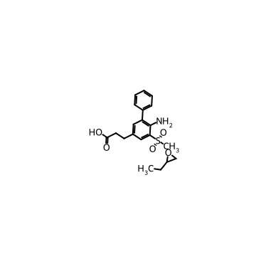 CCC1CO1.CS(=O)(=O)c1cc(CCC(=O)O)cc(-c2ccccc2)c1N